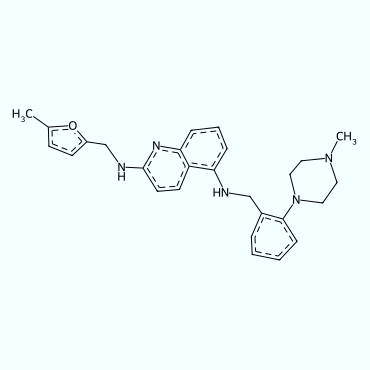 Cc1ccc(CNc2ccc3c(NCc4ccccc4N4CCN(C)CC4)cccc3n2)o1